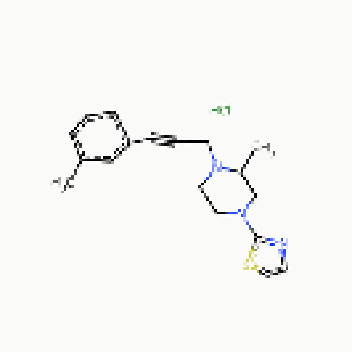 Cc1cccc(C#CCN2CCN(c3nccs3)CC2C)c1.Cl